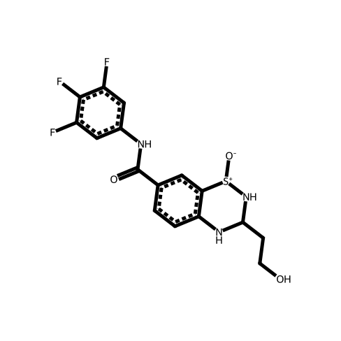 O=C(Nc1cc(F)c(F)c(F)c1)c1ccc2c(c1)[S+]([O-])NC(CCO)N2